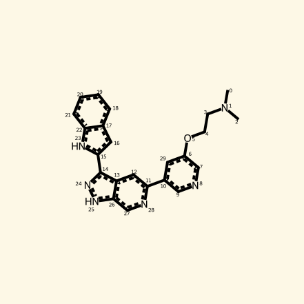 CN(C)CCOc1cncc(-c2cc3c(-c4cc5ccccc5[nH]4)n[nH]c3cn2)c1